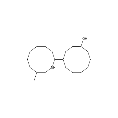 CC1CCCCCCC(C2CCCCCCC(O)CC2)NC1